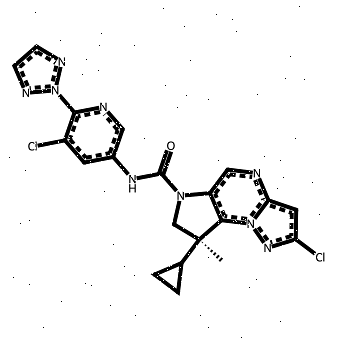 C[C@]1(C2CC2)CN(C(=O)Nc2cnc(-n3nccn3)c(Cl)c2)c2cnc3cc(Cl)nn3c21